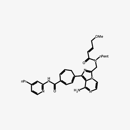 CCCCCN(Cc1nc(C2=CC=C(C(=O)Nc3cc(CCC)ccn3)C=CC2)c2c(N)nccn12)C(=O)/C=C/COC